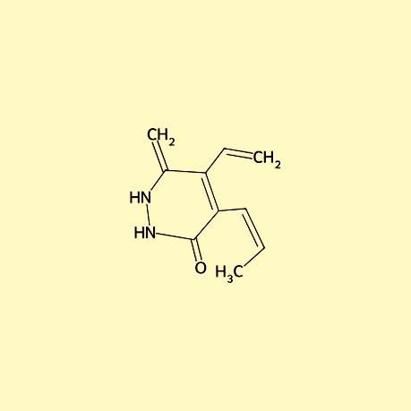 C=CC1=C(/C=C\C)C(=O)NNC1=C